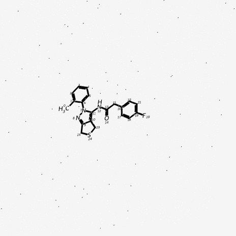 Cc1ccccc1-n1nc2c(c1NC(=O)Cc1ccc(F)cc1)CSC2